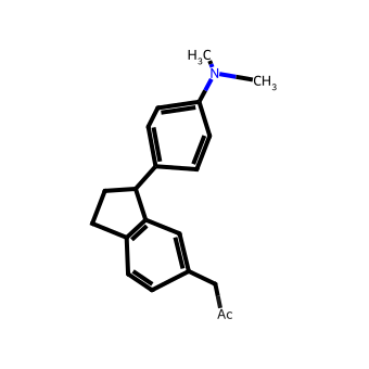 CC(=O)Cc1ccc2c(c1)C(c1ccc(N(C)C)cc1)CC2